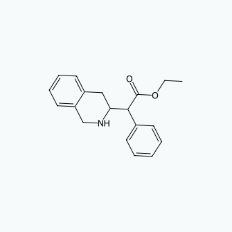 CCOC(=O)C(c1ccccc1)C1Cc2ccccc2CN1